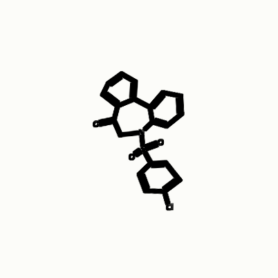 O=C1CN(S(=O)(=O)c2ccc(Cl)cc2)c2ccccc2-c2ccccc21